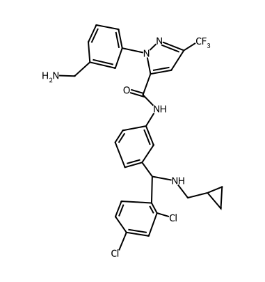 NCc1cccc(-n2nc(C(F)(F)F)cc2C(=O)Nc2cccc(C(NCC3CC3)c3ccc(Cl)cc3Cl)c2)c1